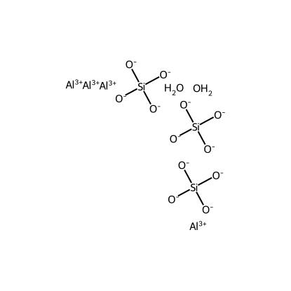 O.O.[Al+3].[Al+3].[Al+3].[Al+3].[O-][Si]([O-])([O-])[O-].[O-][Si]([O-])([O-])[O-].[O-][Si]([O-])([O-])[O-]